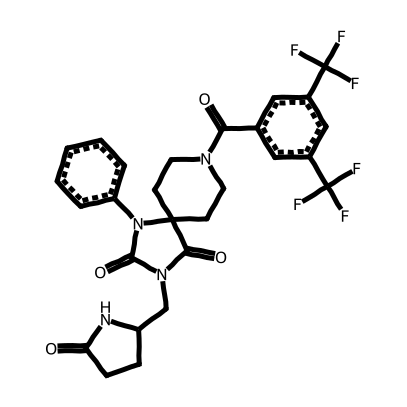 O=C1CCC(CN2C(=O)N(c3ccccc3)C3(CCN(C(=O)c4cc(C(F)(F)F)cc(C(F)(F)F)c4)CC3)C2=O)N1